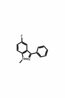 Cn1nc(-c2ccccc2)c2cc(F)ccc21